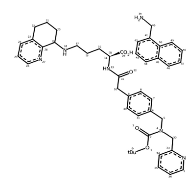 CC(C)(C)OC(=O)N(Cc1ccc(CC(=O)N[C@@H](CCCNC2CCCc3cccnc32)C(=O)O)cc1)Cc1ccccn1.NCc1cccc2ccccc12